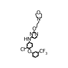 FC(F)(F)c1cccc(Oc2ccc(Nc3ccnc(OCCCN4CCOCC4)n3)cc2Cl)c1